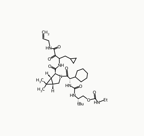 C=CCNC(=O)C(=O)C(CC1CC1)NC(=O)[C@@H]1[C@@H]2[C@H](CN1C(=O)[C@@H](NC(=O)N[C@H](COC(=O)NCC)C(C)(C)C)C1CCCCC1)C2(C)C